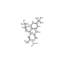 COC1=N[C@H](C(C)C)C(OC)=N[C@H]1C(O[Si](C)(C)C(C)(C)C)c1ccc(C(F)(F)F)cc1